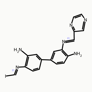 Nc1cc(-c2ccc(N)c(/N=C/c3cnccn3)c2)ccc1/N=C/I